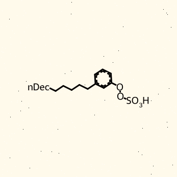 CCCCCCCCCCCCCCCc1cccc(OOS(=O)(=O)O)c1